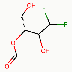 O=CO[C@H](CO)C(O)C(F)F